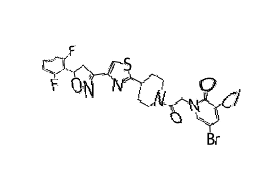 O=C(Cn1cc(Br)cc(Cl)c1=O)N1CCC(c2nc(C3=NOC(c4c(F)cccc4F)C3)cs2)CC1